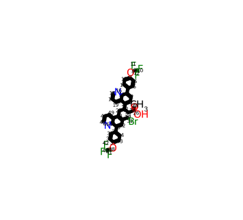 Cc1cc(-c2ccc(OC(F)(F)F)cc2)c2ncccc2c1[C](CC(=O)O)Cc1c(CBr)cc(-c2ccc(OC(F)(F)F)cc2)c2ncccc12